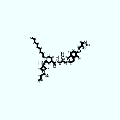 CCCCCCCCCN1CCC(C(=O)NC[C@H](O)CN2CCc3c(ccc(OCc4cnco4)c3C)C2)CC1NC1CN(C(=O)CCC)C1